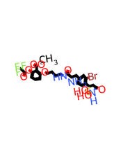 COC(=O)c1c(OCCCCNC(=O)[C@@H](N)Cc2ccc(C3CC(=O)NS3(O)O)c(Br)c2)cccc1OC(=O)C(F)(F)F